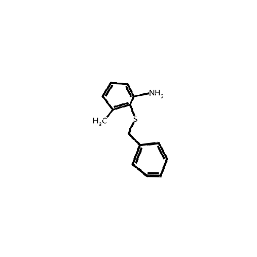 Cc1cccc(N)c1SCc1ccccc1